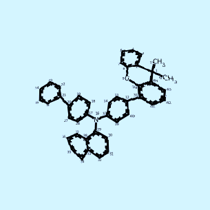 CC1(C)c2ccccc2Oc2c(-c3ccc(N(c4ccc(-c5ccccc5)cc4)c4cccc5ccccc45)cc3)cccc21